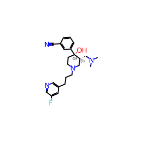 CN(C)C[C@@H]1CN(CCCc2cncc(F)c2)CC[C@@]1(O)c1cccc(C#N)c1